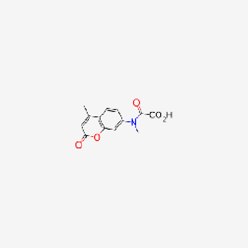 Cc1cc(=O)oc2cc(N(C)C(=O)C(=O)O)ccc12